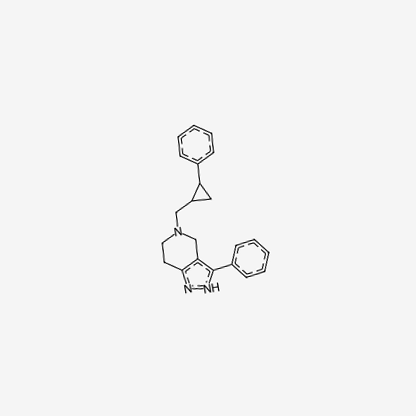 c1ccc(-c2[nH]nc3c2CN(CC2CC2c2ccccc2)CC3)cc1